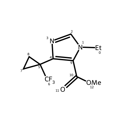 CCn1cnc(C2(C(F)(F)F)CC2)c1C(=O)OC